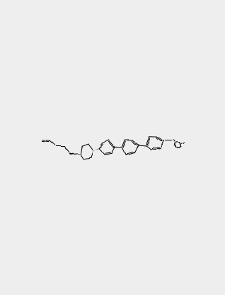 C=CCCC[C@H]1CC[C@H](c2ccc(-c3ccc(-c4ccc(COC)cc4)cc3)cc2)CC1